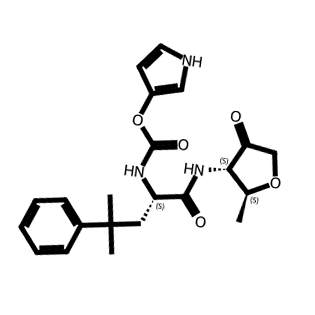 C[C@@H]1OCC(=O)[C@H]1NC(=O)[C@H](CC(C)(C)c1ccccc1)NC(=O)Oc1cc[nH]c1